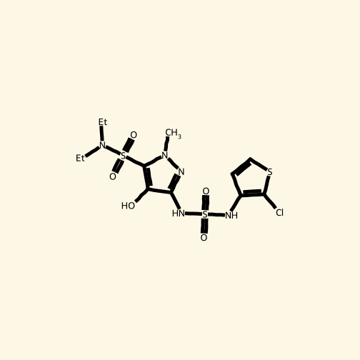 CCN(CC)S(=O)(=O)c1c(O)c(NS(=O)(=O)Nc2ccsc2Cl)nn1C